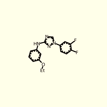 CCOc1cccc(Nc2ncn(-c3ccc(F)c(F)c3)n2)c1